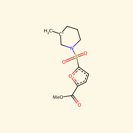 [CH2-][C+]1CCCN(S(=O)(=O)c2ccc(C(=O)OC)o2)C1